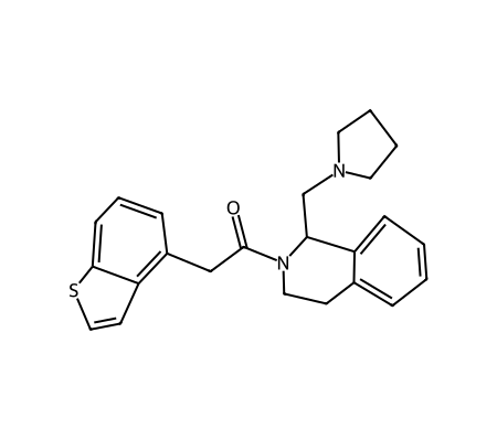 O=C(Cc1cccc2sccc12)N1CCc2ccccc2C1CN1CCCC1